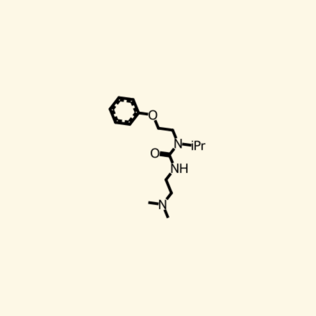 CC(C)N(CCOc1ccccc1)C(=O)NCCN(C)C